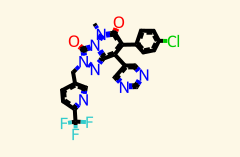 Cn1c(=O)c(-c2ccc(Cl)cc2)c(-c2cncnc2)c2nn(Cc3ccc(C(F)(F)F)nc3)c(=O)n21